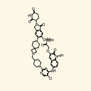 CNC(=O)COc1cc2cc(Nc3nc(N4CCC(CN5CC6(CCN(c7cc8c(cc7OC)C(=O)N(C7CCC(=O)NC7=O)C8)CC6)C5)CC4)ncc3Cl)ccc2n(C(C)C)c1=O